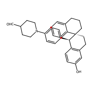 O=CC1CCN(c2ccc([C@@H]3c4ccc(O)cc4CC[C@]34CCCc3ccccc34)cc2)CC1